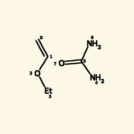 C=COCC.NC(N)=O